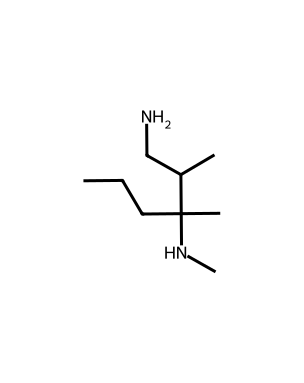 CCCC(C)(NC)C(C)CN